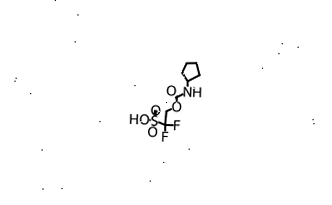 O=C(NC1CCCC1)OCC(F)(F)S(=O)(=O)O